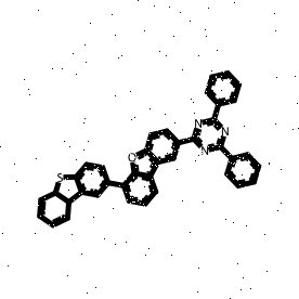 C1=CC2Sc3ccc(-c4cccc5c4oc4ccc(-c6nc(-c7ccccc7)nc(-c7ccccc7)n6)cc45)cc3C2C=C1